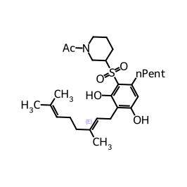 CCCCCc1cc(O)c(C/C=C(\C)CCC=C(C)C)c(O)c1S(=O)(=O)C1CCCN(C(C)=O)C1